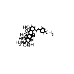 CC1CCC(CCC2CCC(O)C3C(=O)C4C(O)[C@]5(O)C(O)C(C(N)O)C(O)C[C@@H]5C[C@@H]4CC23)CC1